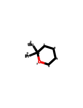 CC(C)C1(C(C)(C)C)CCCCO1